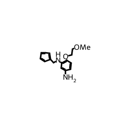 COCCOc1ccc(N)cc1NCc1ccccc1